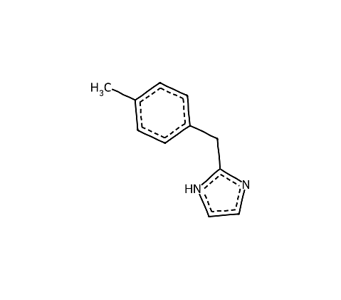 Cc1ccc(Cc2ncc[nH]2)cc1